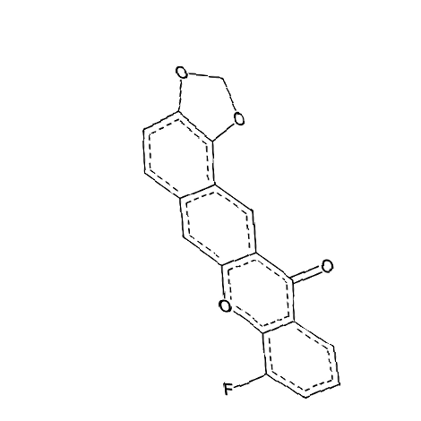 O=c1c2cc3c4c(ccc3cc2oc2c(F)cccc12)OCO4